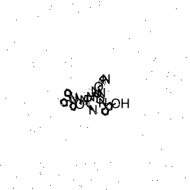 CN1CCC[C@H]1COc1nc2c(c(N3CCN(C(=O)C4C[N@@]4C(c4ccccc4)(c4ccccc4)c4ccccc4)[C@@H](CC#N)C3)n1)CCN(c1cc(O)cc3ccccc13)C2